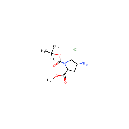 COC(=O)[C@@H]1C[C@@H](N)CN1C(=O)OC(C)(C)C.Cl